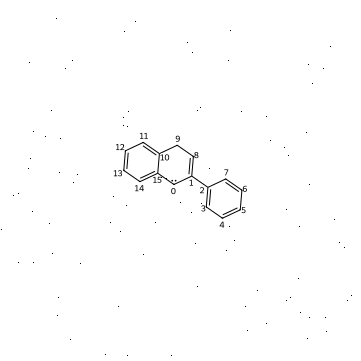 [C]1C(c2ccccc2)=CCc2ccccc21